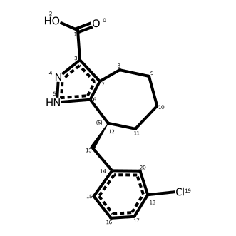 O=C(O)c1n[nH]c2c1CCCC[C@H]2Cc1cccc(Cl)c1